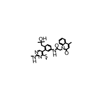 CNc1ncc(-c2cc(NC(=O)Cn3c(=O)cc(C)c4ccccc43)ccc2CC(C)(C)O)c(SC)n1